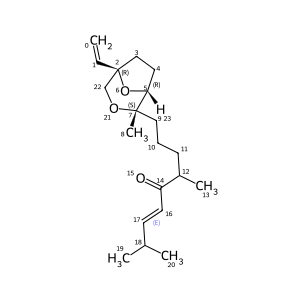 C=C[C@@]12CC[C@@H](O1)[C@](C)(CCCC(C)C(=O)/C=C/C(C)C)OC2